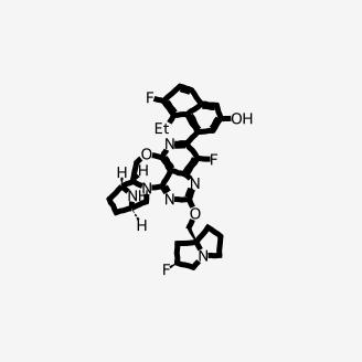 CCc1c(F)ccc2cc(O)cc(-c3nc4c5c(nc(OC[C@@]67CCCN6C[C@H](F)C7)nc5c3F)N3C[C@H]5CC[C@H](N5)[C@@H]3CO4)c12